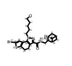 CC1(C)C2CCC(CNC(=O)c3nn(CCCCCCl)c4c3CCc3sc(Br)cc3-4)C1C2